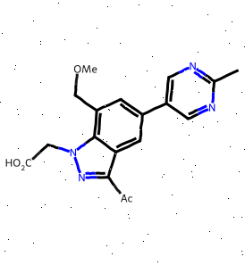 COCc1cc(-c2cnc(C)nc2)cc2c(C(C)=O)nn(CC(=O)O)c12